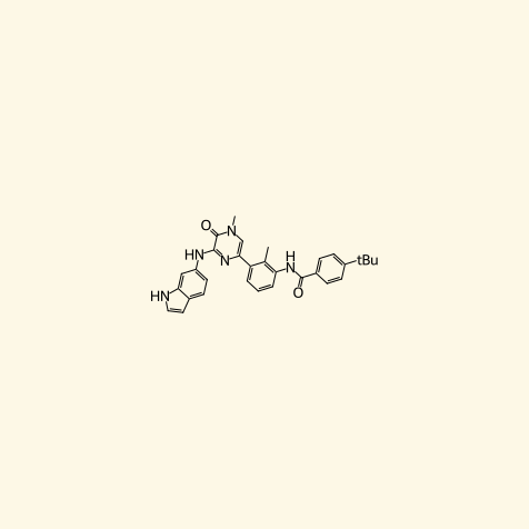 Cc1c(NC(=O)c2ccc(C(C)(C)C)cc2)cccc1-c1cn(C)c(=O)c(Nc2ccc3cc[nH]c3c2)n1